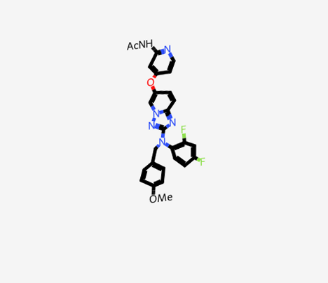 COc1ccc(CN(c2nc3ccc(Oc4ccnc(NC(C)=O)c4)cn3n2)c2ccc(F)cc2F)cc1